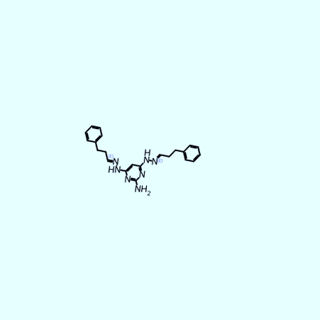 Nc1nc(N/N=C/CCc2ccccc2)cc(N/N=C/CCc2ccccc2)n1